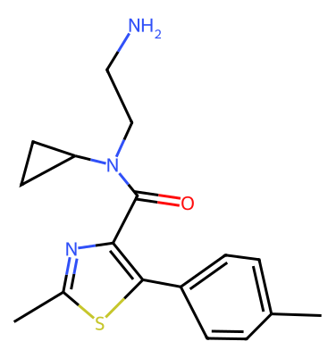 Cc1ccc(-c2sc(C)nc2C(=O)N(CCN)C2CC2)cc1